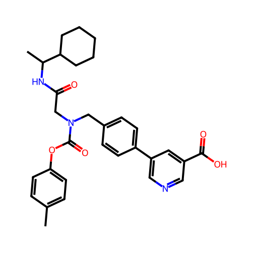 Cc1ccc(OC(=O)N(CC(=O)NC(C)C2CCCCC2)Cc2ccc(-c3cncc(C(=O)O)c3)cc2)cc1